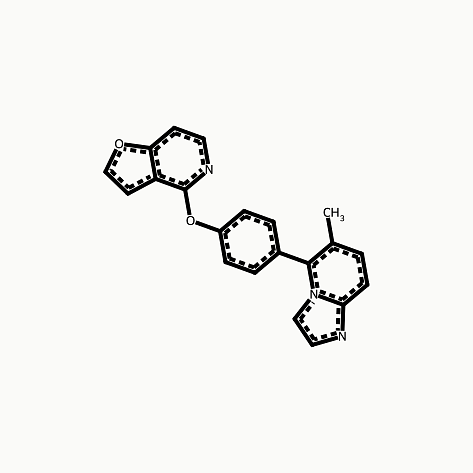 Cc1ccc2nccn2c1-c1ccc(Oc2nccc3occc23)cc1